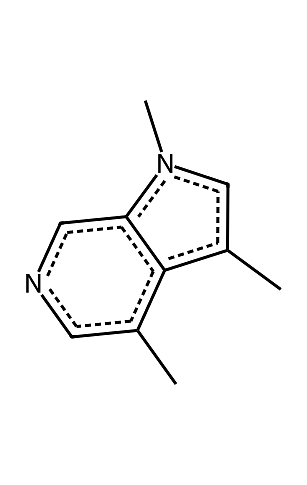 Cc1cncc2c1c(C)cn2C